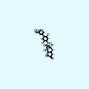 O=C(Nc1cc(Cl)c(-c2cncc(CO)c2)cc1F)N1[C@H]2CC[C@@H]1c1n[nH]c(=O)cc1C2